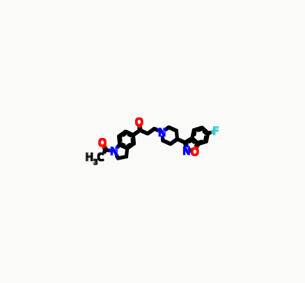 CC(=O)N1CCc2cc(C(=O)CCN3CCC(c4noc5cc(F)ccc45)CC3)ccc21